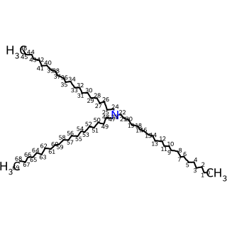 CCCCCCCCCCCCCCCCCCCCCCCN(CCCCCCCCCCCCCCCCCCCCCCC)CCCCCCCCCCCCCCCCCCCCCCC